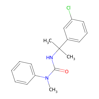 CN(C(=O)NC(C)(C)c1cccc(Cl)c1)c1ccccc1